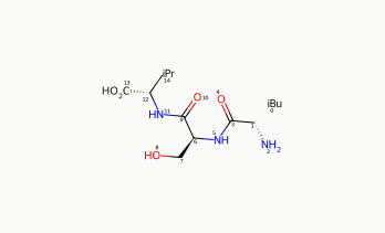 CC[C@H](C)[C@H](N)C(=O)N[C@@H](CO)C(=O)N[C@H](C(=O)O)C(C)C